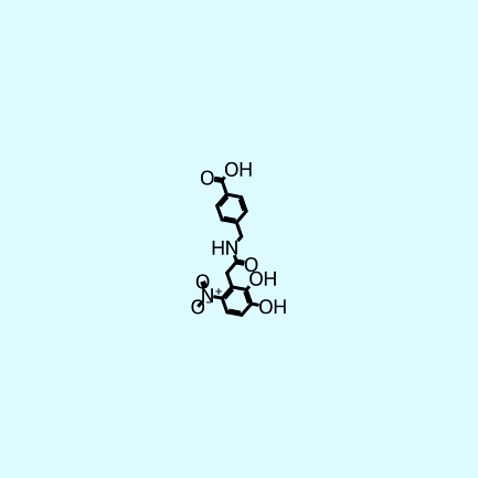 O=C(Cc1c([N+](=O)[O-])ccc(O)c1O)NCc1ccc(C(=O)O)cc1